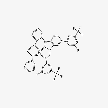 Fc1cc(-c2ccc3c(c2)c2cc(-c4cc(F)cc(C(F)(F)F)c4)ccc2n3-c2ccccc2-c2ccc(-c3ccccc3)cc2)cc(C(F)(F)F)c1